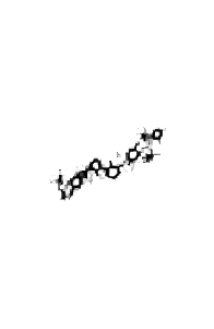 Cc1c(-c2nc3cc(COC(=O)[C@@H]4CCCN4)c(OC(F)F)cc3o2)cccc1-c1cccc(-c2nc3cc(CN(C)C)c(OC(F)F)cc3o2)c1C